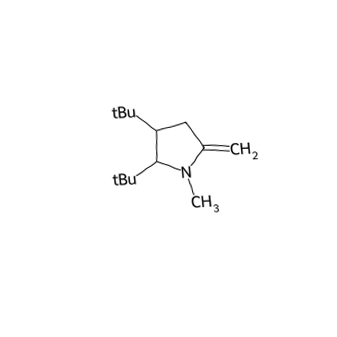 C=C1CC(C(C)(C)C)C(C(C)(C)C)N1C